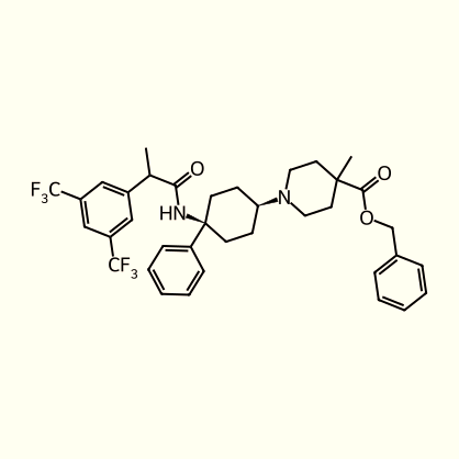 CC(C(=O)N[C@]1(c2ccccc2)CC[C@H](N2CCC(C)(C(=O)OCc3ccccc3)CC2)CC1)c1cc(C(F)(F)F)cc(C(F)(F)F)c1